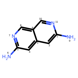 Nc1cc2cc(N)ncc2cn1